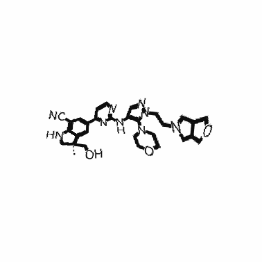 C[C@]1(CO)CNc2c(C#N)cc(-c3ccnc(Nc4cnn(CCN5CC6COCC6C5)c4N4CCOCC4)n3)cc21